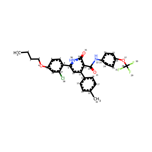 CCCCOc1ccc(-c2cc(-c3ccc(C)cc3)c(C(=O)Nc3ccc(OC(F)(F)F)cc3)c(=O)[nH]2)c(Cl)c1